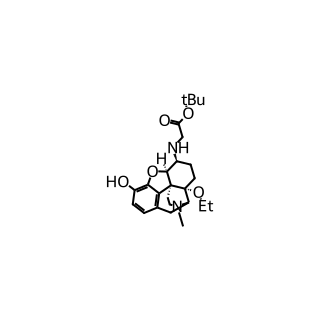 CCO[C@@]12CC[C@H](NCC(=O)OC(C)(C)C)[C@@H]3Oc4c(O)ccc5c4[C@@]31CCN(C)C2C5